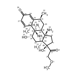 COCC(=O)[C@@]1(O)CC[C@]2(N)[C@]1(C)C[C@H](O)[C@@]1(N)[C@@]2(N)C[C@H](C)C2=CC(=O)C=C[C@@]21C